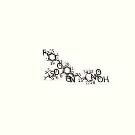 CC(C)(C)[Si](C)(C)OCc1c(OCc2ccc(F)cc2)ccc2c(CCC3CCN(C(=O)O)CC3)noc12